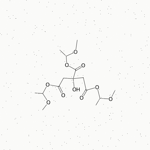 COC(C)OC(=O)CC(O)(CC(=O)OC(C)OC)C(=O)OC(C)OC